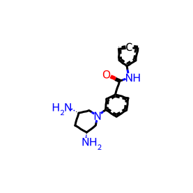 N[C@@H]1C[C@H](N)CN(c2cccc(C(=O)Nc3ccccc3)c2)C1